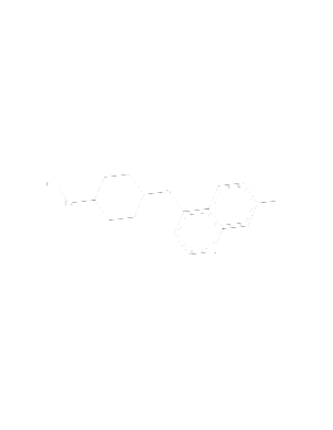 CC(C)NC1CCC(Nc2ccnc3cc(Cl)ccc23)CC1